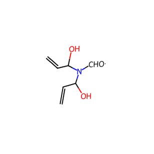 C=CC(O)N([C]=O)C(O)C=C